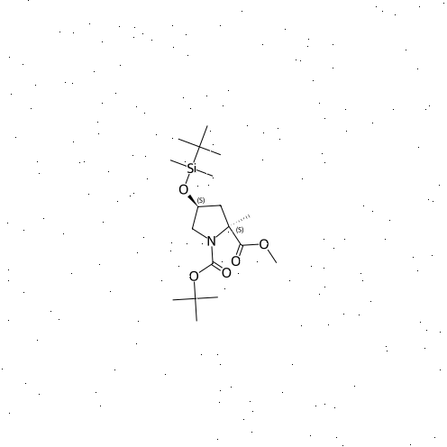 COC(=O)[C@]1(C)C[C@H](O[Si](C)(C)C(C)(C)C)CN1C(=O)OC(C)(C)C